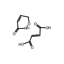 O=C(O)/C=C/C(=O)O.O=C1C=CCON1